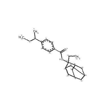 CCC(C)c1ccc(C(=O)OC2(CC)C3CC4CC(C3)CC2C4)cc1